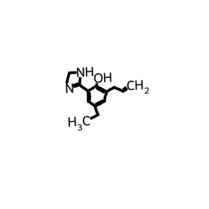 C=CCc1cc(CC)cc(C2=NCCN2)c1O